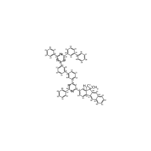 CC1(C)c2cc(-c3cc(-c4cccc(-c5cccc(-c6nc(-c7ccccc7)nc(-c7cccc(-c8ccccc8)c7)n6)c5)c4)nc(-c4ccccc4)n3)ccc2-c2cc3ccccc3cc21